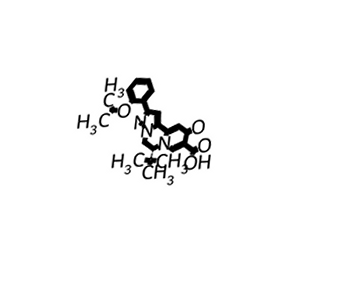 CC(C)Oc1ccccc1-c1cc2n(n1)C[C@@H](C(C)(C)C)n1cc(C(=O)O)c(=O)cc1-2